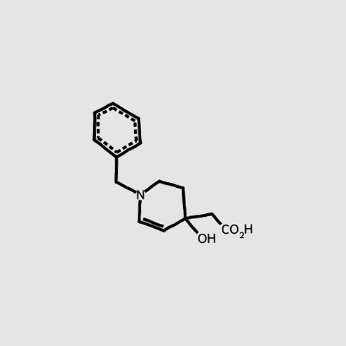 O=C(O)CC1(O)C=CN(Cc2ccccc2)CC1